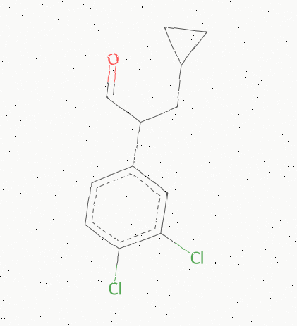 O=CC(CC1CC1)c1ccc(Cl)c(Cl)c1